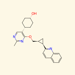 Cc1ncc([C@H]2CC[C@@H](O)CC2)c(OC[C@H]2C[C@H]2c2ccc3ccccc3n2)n1